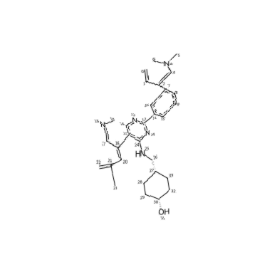 C=C/C(=C\N(C)C)c1cccc(-c2ncc(C(/C=N\C)=C/C(=C)C)c(NC[C@H]3CC[C@@H](O)CC3)n2)c1